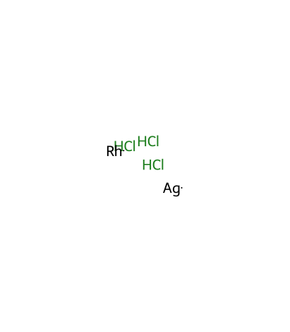 Cl.Cl.Cl.[Ag].[Rh]